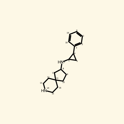 c1ccc(C2CC2NC2CCC3(CCNCC3)C2)cc1